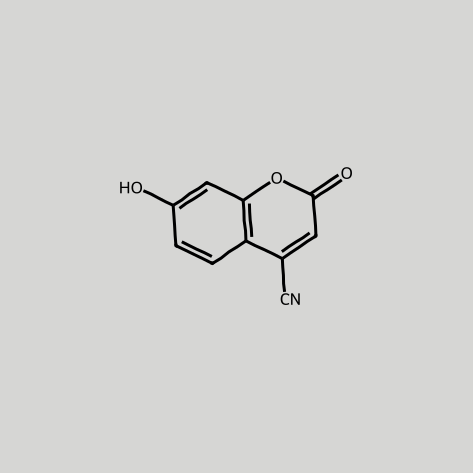 N#Cc1cc(=O)oc2cc(O)ccc12